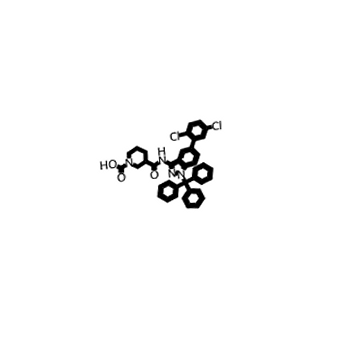 O=C(Nc1nn(C(c2ccccc2)(c2ccccc2)c2ccccc2)c2ccc(-c3cc(Cl)ccc3Cl)cc12)C1CCCN(C(=O)O)C1